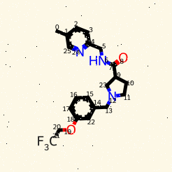 Cc1ccc(CNC(=O)C2CCN(Cc3cccc(OCC(F)(F)F)c3)C2)nc1